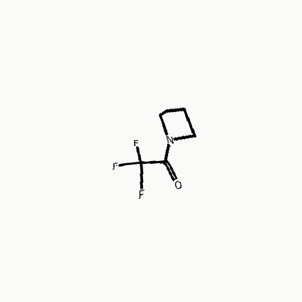 O=C(N1CCC1)C(F)(F)F